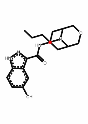 CCCCN1C2COCC1CC(NC(=O)c1n[nH]c3ccc(O)cc13)C2